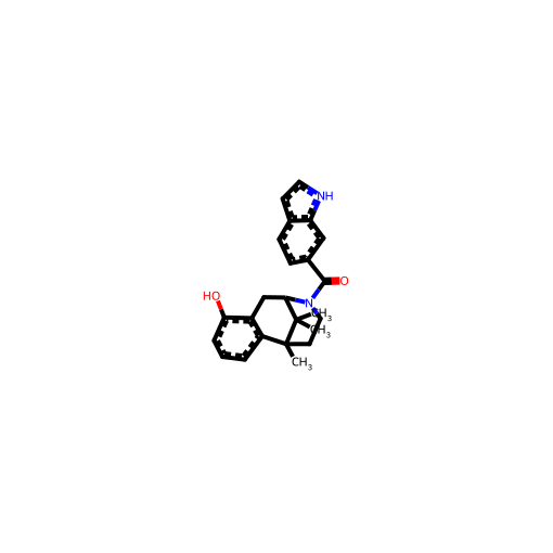 CC12CCN(C(=O)c3ccc4cc[nH]c4c3)C(Cc3c(O)cccc31)C2(C)C